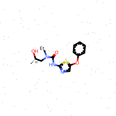 CCN(C[C@H](C)O)C(=O)Nc1ncc(Oc2ccccc2)s1